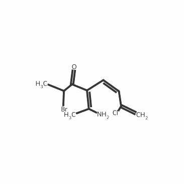 C=C(Cl)/C=C\C(C(=O)C(C)Br)=C(\C)N